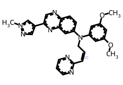 COc1cc(OC)cc(N(C/C=C\c2ncccn2)c2ccc3ncc(-c4cnn(C)c4)nc3c2)c1